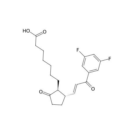 O=C(O)CCCCCC[C@@H]1C(=O)CC[C@H]1C=CC(=O)c1cc(F)cc(F)c1